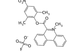 Cc1cc([N+](=O)[O-])cc(C)c1OC(=O)c1c2ccccc2c2ccccc2[n+]1C.O=S(=O)([O-])F